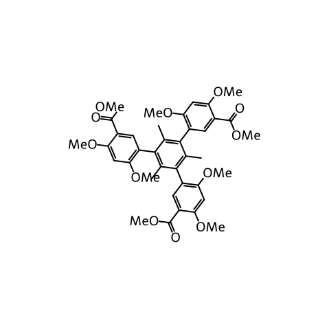 COC(=O)c1cc(-c2c(C)c(-c3cc(C(=O)OC)c(OC)cc3OC)c(C)c(-c3cc(C(=O)OC)c(OC)cc3OC)c2C)c(OC)cc1OC